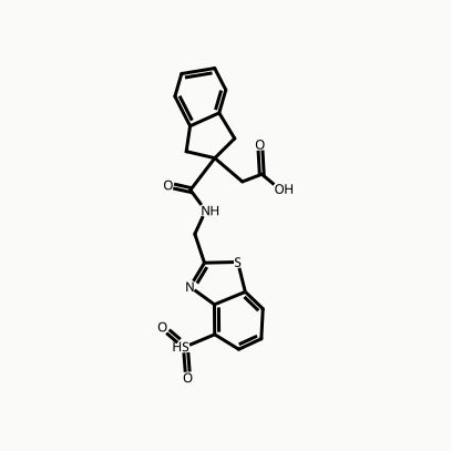 O=C(O)CC1(C(=O)NCc2nc3c([SH](=O)=O)cccc3s2)Cc2ccccc2C1